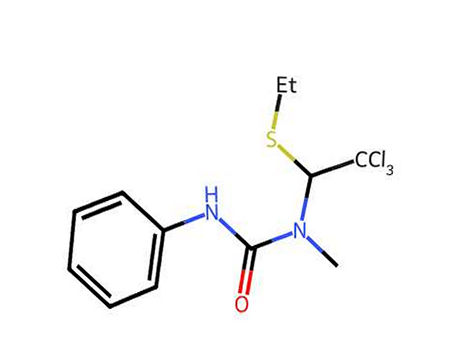 CCSC(N(C)C(=O)Nc1ccccc1)C(Cl)(Cl)Cl